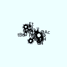 CCC(=O)O[C@@H](C(=O)OC1C[C@@]2(O)[C@@H](OC(=O)c3ccccc3)[C@@H]3[C@]4(OC(C)=O)CO[C@@H]4C[C@@H]4C[C@@]43C(=O)[C@H](OC(C)=O)C(=C1C)C2(C)C)[C@@H](NC(=O)OC(C)(C)C)c1ccccc1